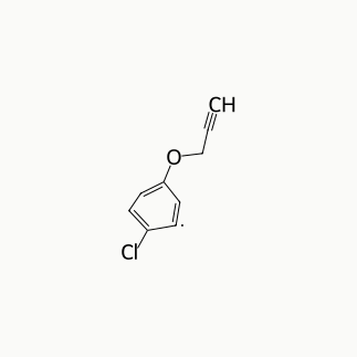 C#CCOc1c[c]c(Cl)cc1